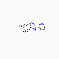 Cc1cnc(-c2cccnc2)nc1C